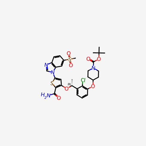 C[C@@H](Oc1cc(-n2cnc3ccc(S(C)(=O)=O)cc32)sc1C(N)=O)c1cccc(OC2CCN(C(=O)OC(C)(C)C)CC2)c1Cl